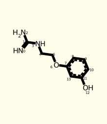 N=C(N)NCCOc1cccc(O)c1